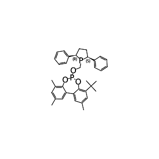 Cc1cc(C)c2op(OCP3[C@@H](c4ccccc4)CC[C@H]3c3ccccc3)oc3c(C(C)(C)C)cc(C)cc3c2c1